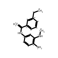 C=C(Nc1ccc(N)c(NC)c1)c1cccc(CC)c1